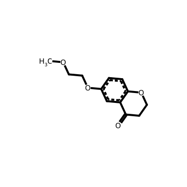 COCCOc1ccc2c(c1)C(=O)CCO2